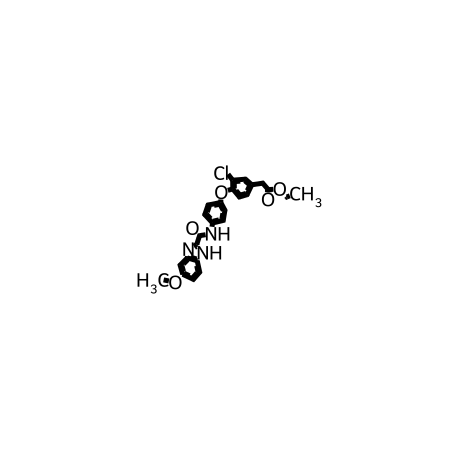 CCOC(=O)Cc1ccc(Oc2ccc(NC(=O)c3nc4cc(OC)ccc4[nH]3)cc2)c(Cl)c1